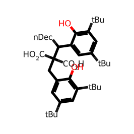 CCCCCCCCCCC(c1cc(C(C)(C)C)cc(C(C)(C)C)c1O)C(Cc1cc(C(C)(C)C)cc(C(C)(C)C)c1O)(C(=O)O)C(=O)O